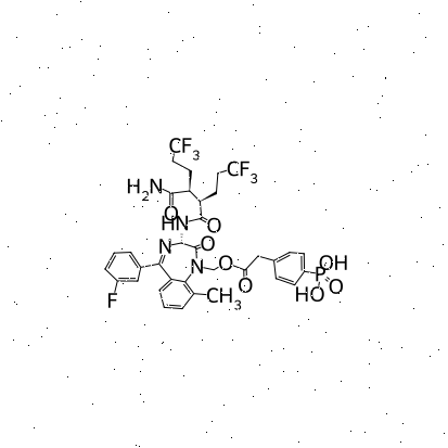 Cc1cccc2c1N(COC(=O)Cc1ccc(P(=O)(O)O)cc1)C(=O)[C@@H](NC(=O)[C@H](CCC(F)(F)F)[C@H](CCC(F)(F)F)C(N)=O)N=C2c1cccc(F)c1